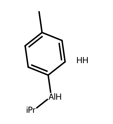 Cc1cc[c]([AlH][CH](C)C)cc1.[HH]